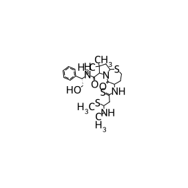 CNC(CC(=S)NC1CCSC2CC(C)(C)C(C(=O)N[C@H](CO)c3ccccc3)N2C1=O)SC